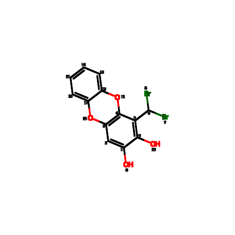 Oc1cc2c(c(C(Br)Br)c1O)Oc1ccccc1O2